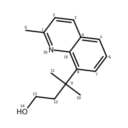 Cc1ccc2cccc(C(C)(C)CCO)c2n1